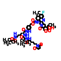 CC[C@@]1(O)C(=O)OCc2c1cc1n(c2=O)Cc2c-1nc1cc(F)c(C)c3c1c2[C@@H](NC(=O)OCc1ccc(NC(=O)[C@H](CCCCNC(=O)OC(C)(C)C)NC(=O)[C@@H](NC(=O)CCCCCN2C(=O)C=CC2=O)C(C)C)cc1)CC3